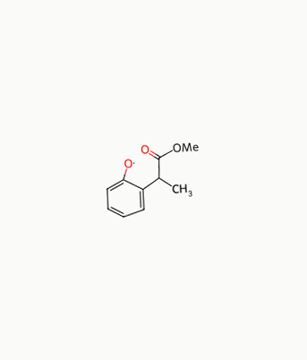 COC(=O)C(C)c1ccccc1[O]